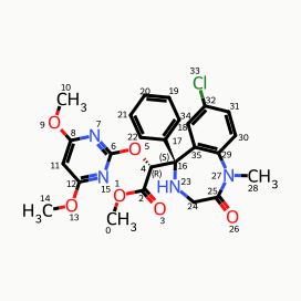 COC(=O)[C@H](Oc1nc(OC)cc(OC)n1)[C@@]1(c2ccccc2)NCC(=O)N(C)c2ccc(Cl)cc21